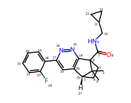 CC1(C)[C@@H]2CCC1(C(=O)NCC1CC1)c1nnc(-c3ccccc3F)cc12